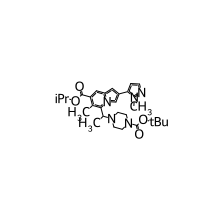 Cc1c(C(=O)OC(C)C)cc2cc(-c3ccnn3C)cn2c1C(C)N1CCN(C(=O)OC(C)(C)C)CC1